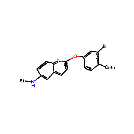 CCNc1ccc2nc(Oc3ccc(OCC(C)C)c(Br)c3)ccc2c1